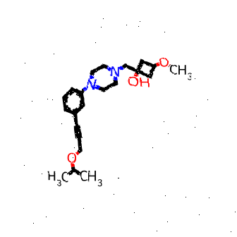 COC1CC(O)(CN2CCN(c3cccc(C#CCOC(C)C)c3)CC2)C1